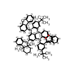 CC(C)(C)c1ccc2c(c1)B1c3ccc4c(oc5ccccc54)c3N(c3ccc(C(C)(C)C)cc3-c3ccccc3)c3cc(N4c5ccccc5C5(C)CCCCC45C)cc(c31)N2c1cccc2oc3ccccc3c12